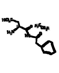 CC(=O)O.N[C@@H](CC(=O)O)C(=O)NC(=O)Cc1ccccc1